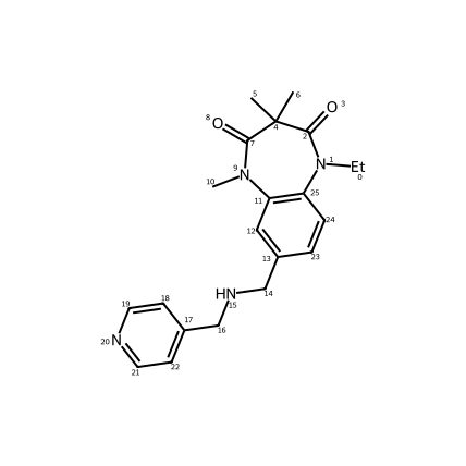 CCN1C(=O)C(C)(C)C(=O)N(C)c2cc(CNCc3ccncc3)ccc21